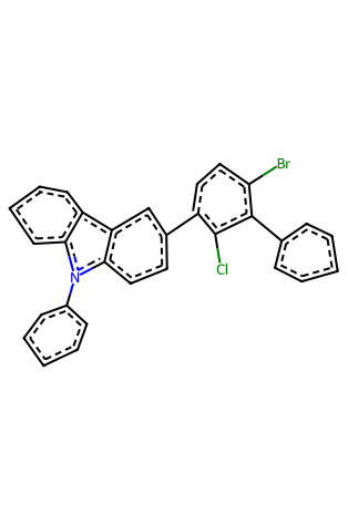 Clc1c(-c2ccc3c(c2)c2ccccc2n3-c2ccccc2)ccc(Br)c1-c1ccccc1